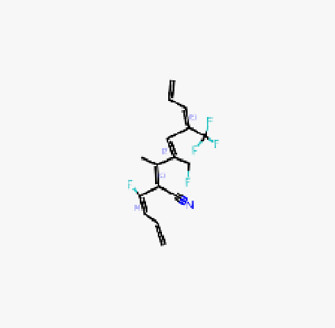 C=C\C=C(F)/C(C#N)=C(C)/C(=C/C(=C\C=C)C(F)(F)F)CF